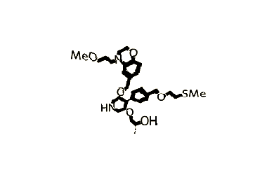 COCCCN1CCOc2ccc(CO[C@H]3CNC[C@@H](OC[C@@H](C)O)[C@@H]3c3ccc(COCCSC)cc3)cc21